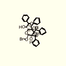 O=C(c1ccccc1)C(O)[C@H]1O[C@H](OBr)[C@](O)(C(=O)c2ccccc2)[C@](O)(C(=O)c2ccccc2)[C@@]1(O)C(=O)c1ccccc1